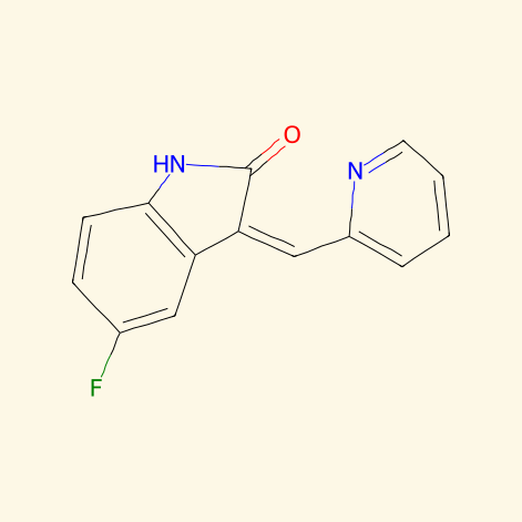 O=C1Nc2ccc(F)cc2/C1=C/c1ccccn1